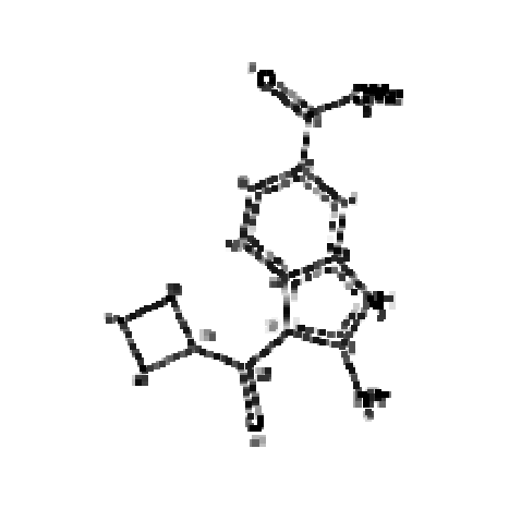 CCCc1[nH]c2cc(C(=O)OC)ccc2c1C(=O)C1CCC1